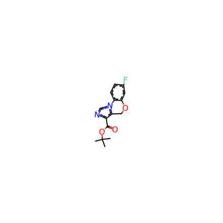 CC(C)(C)OC(=O)c1ncn2c1COc1cc(F)ccc1-2